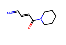 N=C/C=C/C(=O)N1CCCCC1